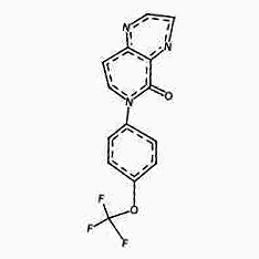 O=c1c2nccnc2ccn1-c1ccc(OC(F)(F)F)cc1